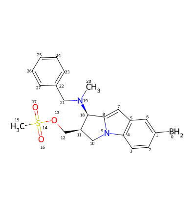 Bc1ccc2c(c1)cc1n2C[C@@H](COS(C)(=O)=O)[C@H]1N(C)Cc1ccccc1